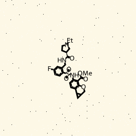 CCN1CC[C@H](C(=O)NCc2cc(F)ccc2S(=O)(=O)Nc2ccc3c(c2C(=O)OC)OCC2CC32)C1